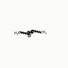 CCCCCCC[n+]1ccc(-c2cc[n+](CCCCCCC)cc2)cc1.[Cl-].[Cl-]